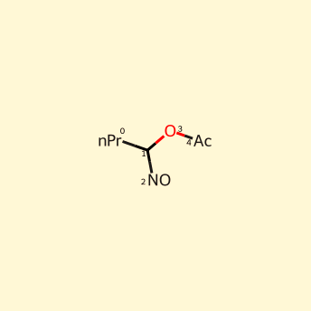 CCCC(N=O)OC(C)=O